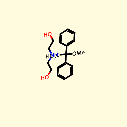 COC(C(=O)O)(c1ccccc1)c1ccccc1.OCCNCCO